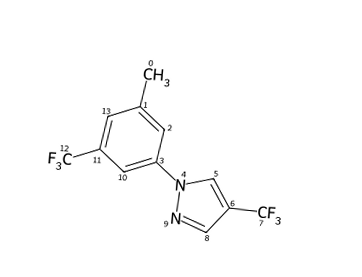 Cc1cc(-n2cc(C(F)(F)F)cn2)cc(C(F)(F)F)c1